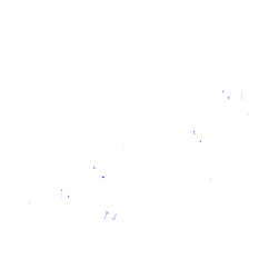 Cc1nc(N2CCOCC2)[nH]c(=O)c1CCC(=O)N1CC(=O)Nc2ccccc2C1